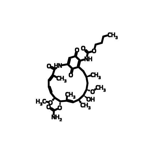 CCCCOC(=O)NC1=C2C[C@@H](C)C[C@H](OC)[C@H](O)[C@@H](C)/C=C(\C)[C@H](OC(N)=O)[C@@H](OC)/C=C\C=C(/C)C(=O)NC(=CC1=O)C2=O